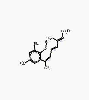 CCOC(=O)/C=C(C)/C=C/C=C(/C)c1cc(C(C)(C)C)cc(C(C)(C)C)c1OCC